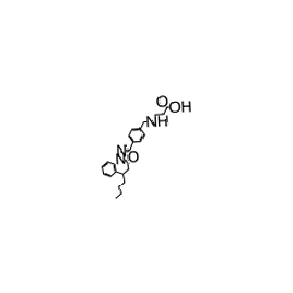 CCCCC(Cc1nnc(-c2ccc(CNCCC(=O)O)cc2)o1)c1ccccc1